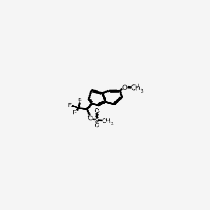 COc1ccc2cc(C(OS(C)(=O)=O)C(F)(F)F)ccc2c1